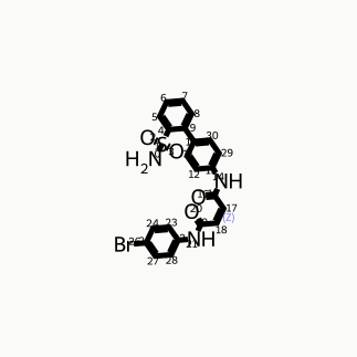 NS(=O)(=O)c1ccccc1-c1ccc(NC(=O)/C=C\C(=O)Nc2ccc(Br)cc2)cc1